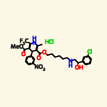 COC(=O)C1=C(C(F)(F)F)NC(C)=C(C(=O)OCCCCCCNCC(O)c2cccc(Cl)c2)C1c1cccc([N+](=O)[O-])c1.Cl